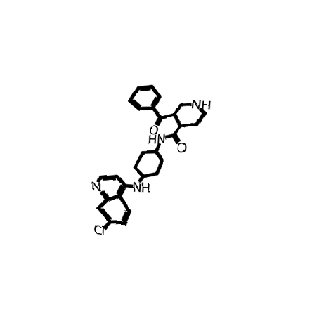 O=C(NC1CCC(Nc2ccnc3cc(Cl)ccc23)CC1)C1CCNCC1C(=O)c1ccccc1